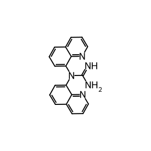 N=C(N)N(c1cccc2cccnc12)c1cccc2cccnc12